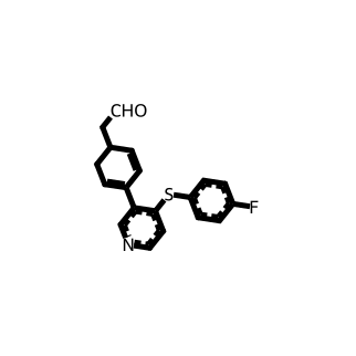 O=CCC1C=CC(c2cnccc2Sc2ccc(F)cc2)=CC1